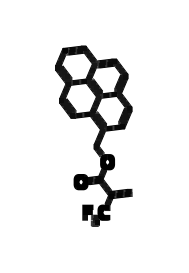 C=C(C(=O)OCc1ccc2ccc3cccc4ccc1c2c34)C(F)(F)F